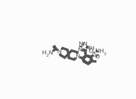 C=C(N)N1CCC2(CC1)CCN(c1ccc(C)c(S(N)(=O)=O)c1-c1nnn[nH]1)CC2